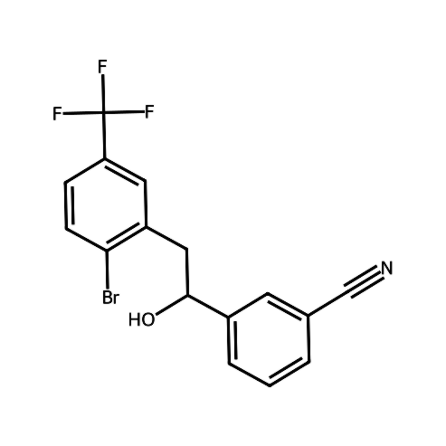 N#Cc1cccc(C(O)Cc2cc(C(F)(F)F)ccc2Br)c1